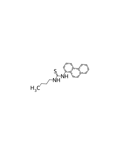 CCCCNC(=S)Nc1cccc2c1ccc1ccccc12